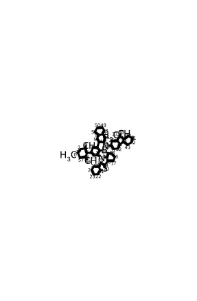 Cc1cc(C)c(-c2cc3c4c(c2)-n2c5c(cccc5c5sc6ccccc6c52)B4N(c2ccc4c(c2)C(C)(C)c2ccccc2-4)c2cc4ccccc4cc2-3)c(C)c1